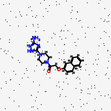 Nc1n[nH]c(N2CCN(C(=O)COc3ccc4ccccc4c3)CC2)n1